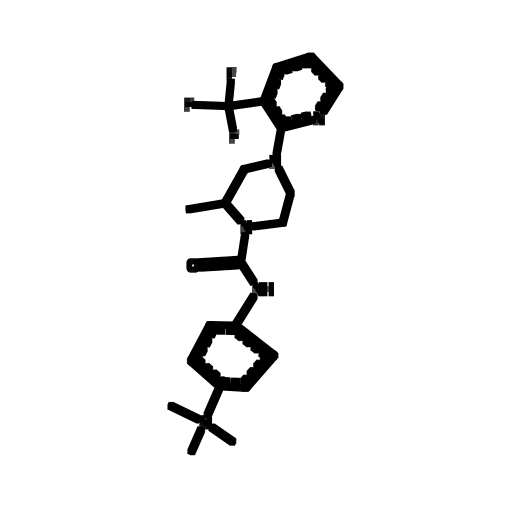 CC1CN(c2ncccc2C(F)(F)F)CCN1C(=O)Nc1ccc([Si](C)(C)C)cc1